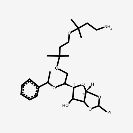 CC(OC(COC(C)(C)CCOC(C)(C)CCN)[C@H]1O[C@@H]2OC(C(C)C)OC2C1O)c1ccccc1